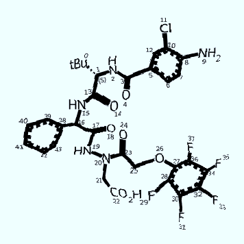 CC(C)(C)[C@H](NC(=O)c1ccc(N)c(Cl)c1)C(=O)NC(C(=O)NN(CC(=O)O)C(=O)COc1c(F)c(F)c(F)c(F)c1F)c1ccccc1